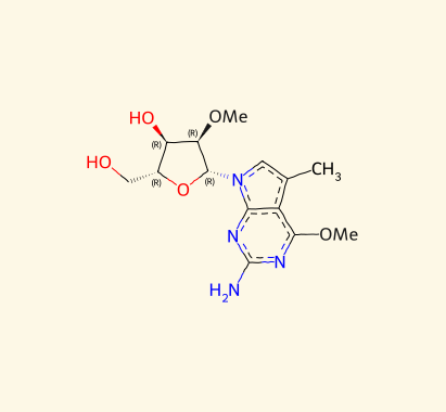 COc1nc(N)nc2c1c(C)cn2[C@@H]1O[C@H](CO)[C@@H](O)[C@H]1OC